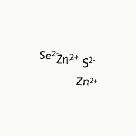 [S-2].[Se-2].[Zn+2].[Zn+2]